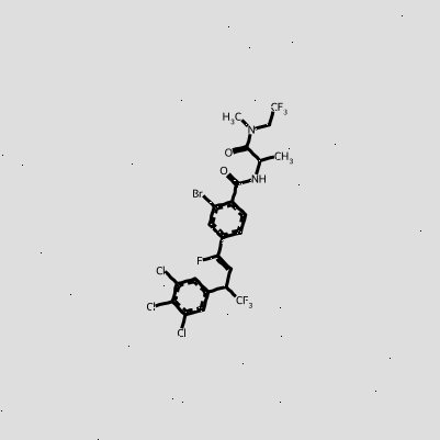 CC(NC(=O)c1ccc(/C(F)=C/C(c2cc(Cl)c(Cl)c(Cl)c2)C(F)(F)F)cc1Br)C(=O)N(C)CC(F)(F)F